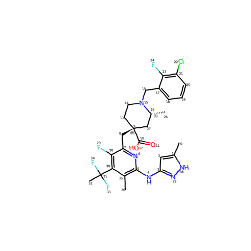 Cc1cc(Nc2nc(C[C@@]3(C(=O)O)CCN(Cc4cccc(Cl)c4F)[C@H](C)C3)c(F)c(C(C)(F)F)c2C)n[nH]1